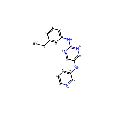 CC(C)Cc1cccc(Nc2ncc(Nc3cccnc3)cn2)c1